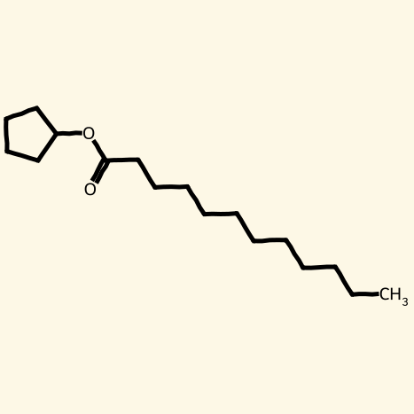 CCCCCCCCCCCC(=O)OC1CCCC1